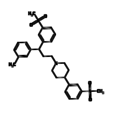 Cc1cccc(C(CCN2CCC(c3cccc(S(C)(=O)=O)c3)CC2)c2cccc(S(C)(=O)=O)c2)c1